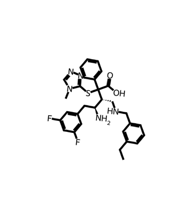 CCc1cccc(CNC[C@H]([C@@H](N)Cc2cc(F)cc(F)c2)C(Sc2nncn2C)(C(=O)O)c2ccccc2)c1